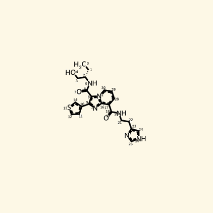 CC[C@@H](CO)NC(=O)c1c(-c2ccsc2)nc2c(C(=O)NCCc3c[nH]cn3)cccn12